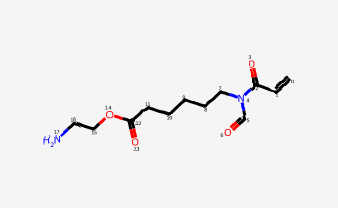 C=CC(=O)N(C=O)CCCCCC(=O)OCCN